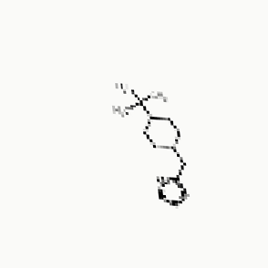 CC(C)(C)C1CCN(Cc2ccco2)CC1